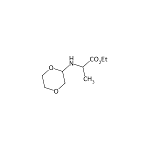 CCOC(=O)C(C)NC1COCCO1